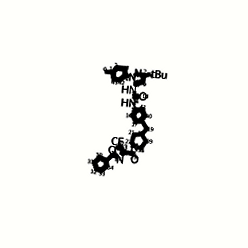 Cc1ccc(-n2nc(C(C)(C)C)cc2NC(=O)Nc2ccc(CC3CCN(C(=O)c4nc(-c5ccccc5)oc4C(F)(F)F)CC3)cc2)cc1